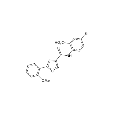 COc1ccccc1-c1cc(C(=O)Nc2ccc(Br)cc2C(=O)O)no1